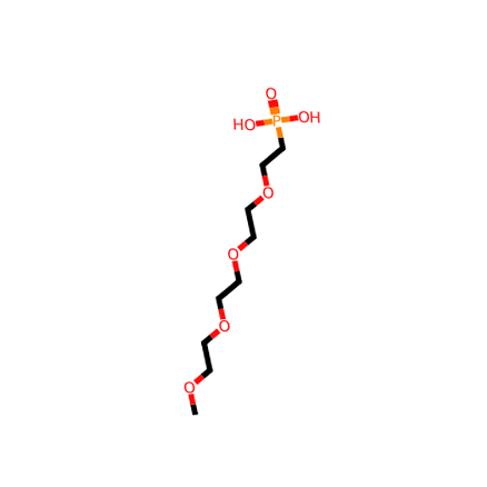 COCCOCCOCCOCCP(=O)(O)O